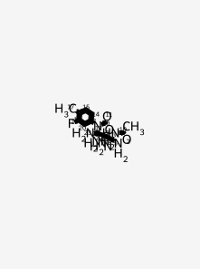 CC(=O)NC(N)(N)[C@]1(N)OC(=O)N(c2ccc(C)c(F)c2)C1(N)N